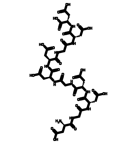 N[C@@H](CC(=O)O)C(=O)NCC(=O)N[C@@H](CC(=O)O)C(=O)N[C@@H](CC(=O)O)C(=O)NCC(=O)N[C@@H](CC(=O)O)C(=O)N[C@@H](CC(=O)O)C(=O)NCC(=O)N[C@@H](CC(=O)O)C(=O)N[C@@H](CC(=O)O)C(=O)O